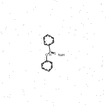 S=[PH](Oc1ccccc1)c1ccccc1.[NaH]